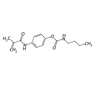 C=C(C)C(=O)Nc1ccc(OC(=O)NCCCC)cc1